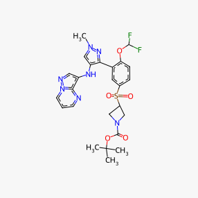 Cn1cc(Nc2cnn3cccnc23)c(-c2cc(S(=O)(=O)C3CN(C(=O)OC(C)(C)C)C3)ccc2OC(F)F)n1